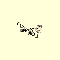 CCOP(=O)(CCCC=C[C@@H]1C[C@@H](NS(=O)(=O)c2ccc(Cl)cc2)CN1S(=O)(=O)c1ccc(Cl)cc1)OCC